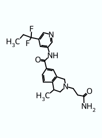 CCC(F)(F)c1cncc(NC(=O)c2ccc3c(c2)CN(CCC(N)=O)CC3C)c1